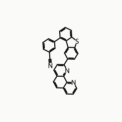 N#Cc1cccc(-c2cccc3sc4ccc(-c5ccc6ccc7cccnc7c6n5)cc4c23)c1